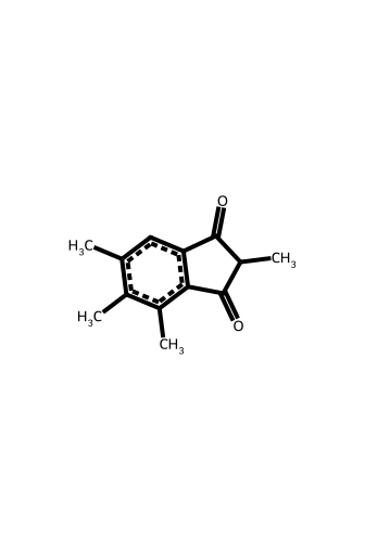 Cc1cc2c(c(C)c1C)C(=O)C(C)C2=O